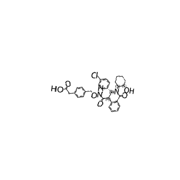 O=C(O)Cc1ccc(CONC(=O)[C@@H]2c3ccccc3C(=O)N([C@H]3CCCC[C@@H]3O)[C@H]2c2ccc(Cl)cc2)cc1